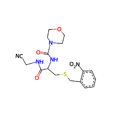 N#CCNC(=O)C(CSCc1ccccc1[N+](=O)[O-])NC(=O)N1CCOCC1